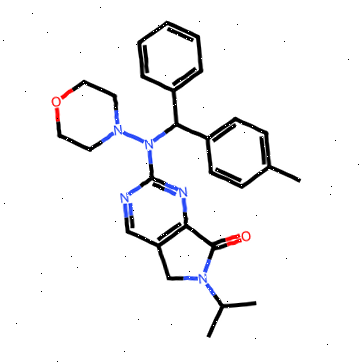 Cc1ccc(C(c2ccccc2)N(c2ncc3c(n2)C(=O)N(C(C)C)C3)N2CCOCC2)cc1